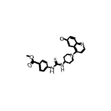 COC(=O)c1ccc(NC(=S)NC2CCN(c3ccnc4ccc(Cl)cc34)CC2)cc1